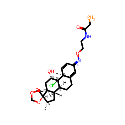 C[C@H]1C[C@H]2[C@@H]3CCC4=C/C(=N/OCCNC(=O)CP)C=C[C@]4(C)[C@@]3(Cl)[C@@H](O)C[C@]2(C)[C@]12OCOC21COCO1